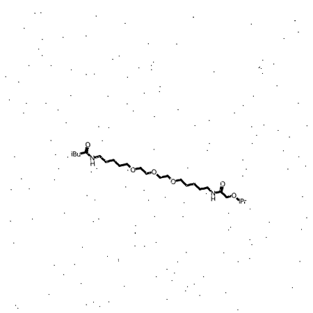 CCC(C)C(=O)NCCCCCOCCOCCOCCCCCNC(=O)COC(C)C